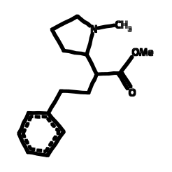 COC(=O)C(CCc1ccccc1)C1CCCN1C